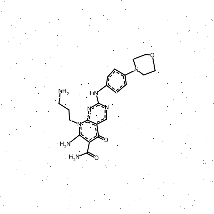 NCCCn1c(N)c(C(N)=O)c(=O)c2cnc(Nc3ccc(N4CCOCC4)cc3)nc21